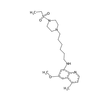 CCS(=O)(=O)N1CCN(CCCCCCNc2cc(OC)cc3c(C)ccnc23)CC1